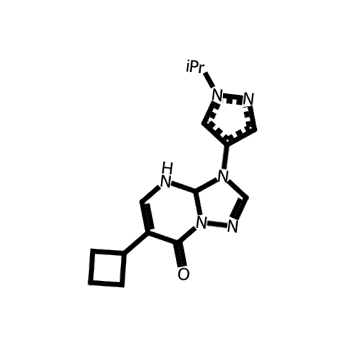 CC(C)n1cc(N2C=NN3C(=O)C(C4CCC4)=CNC32)cn1